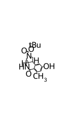 Cc1cc(O)cc2c1C(=O)N[C@@H]1CN(C(=O)OC(C)(C)C)C[C@@H]21